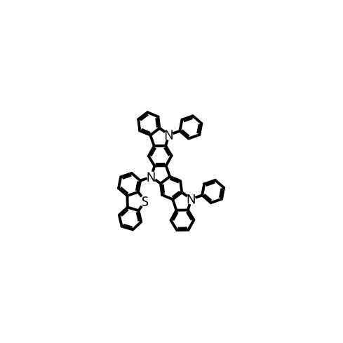 c1ccc(-n2c3ccccc3c3cc4c(cc32)c2cc3c(cc2n4-c2cccc4c2sc2ccccc24)c2ccccc2n3-c2ccccc2)cc1